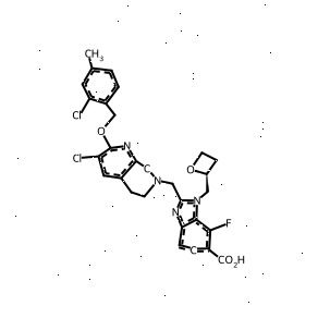 Cc1ccc(COc2nc3c(cc2Cl)CCN(Cc2nc4ccc(C(=O)O)c(F)c4n2C[C@@H]2CCO2)C3)c(Cl)c1